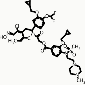 C\C=C(Cl)/C(CC(OC(=O)COC(=O)c1ccc(N(CCN2CCN(C)CC2)S(C)(=O)=O)c(OCC2CC2)c1)c1ccc(OC(F)F)c(OCC2CC2)c1)=C(Cl)\C=N\O